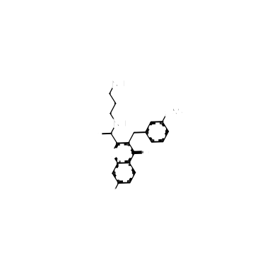 COc1cccc(Cc2c(C(NCCCN)C(C)C)oc3cc(F)ccc3c2=O)c1